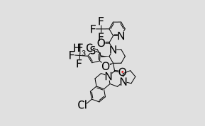 CCC[C@H]1N(C(=O)c2ncccc2C(F)(F)F)CCC[C@]1(Oc1csc(C(F)(F)F)c1)C(=O)N1CCc2cc(Cl)ccc2C1CN1CCCC1